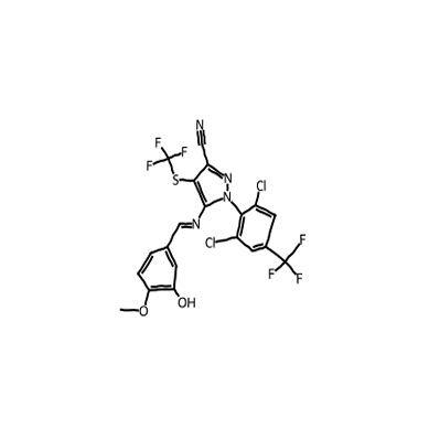 COc1ccc(C=Nc2c(SC(F)(F)F)c(C#N)nn2-c2c(Cl)cc(C(F)(F)F)cc2Cl)cc1O